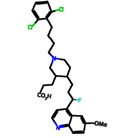 COc1ccc2nccc([C@@H](F)CCC3CCN(CCCCc4c(Cl)cccc4Cl)CC3CCC(=O)O)c2c1